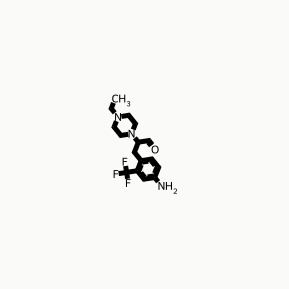 CCN1CCN(C(C=O)Cc2ccc(N)cc2C(F)(F)F)CC1